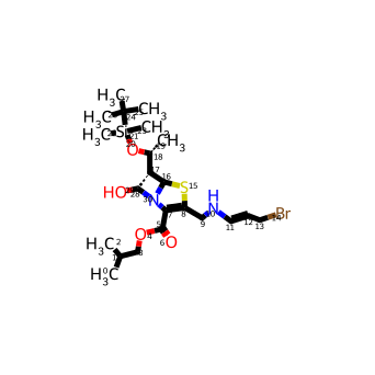 CC(C)COC(=O)C1=C(CN/C=C/CBr)SC2[C@@H]([C@@H](C)O[Si](C)(C)C(C)(C)C)C(O)N12